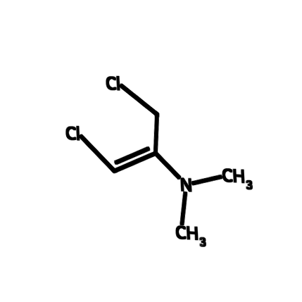 CN(C)C(=CCl)CCl